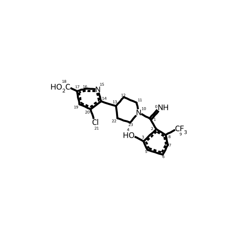 N=C(c1c(O)cccc1C(F)(F)F)N1CCC(c2ncc(C(=O)O)cc2Cl)CC1